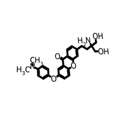 CN(C)c1ccc(Oc2ccc3oc4cc(CCC(N)(CO)CO)ccc4c(=O)c3c2)cc1